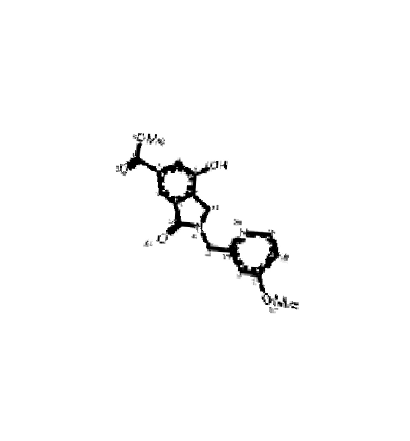 COC(=O)c1cc(O)c2c(c1)C(=O)N(Cc1cc(OC)ccn1)C2